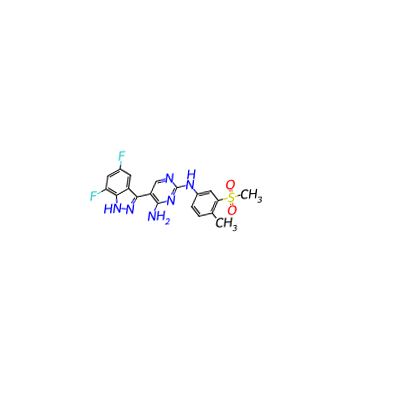 Cc1ccc(Nc2ncc(-c3n[nH]c4c(F)cc(F)cc34)c(N)n2)cc1S(C)(=O)=O